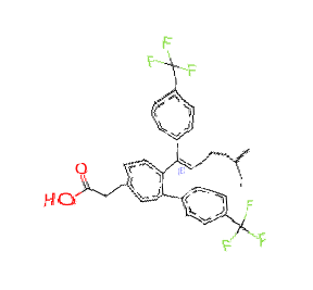 CC(C)C/C=C(\c1ccc(C(F)(F)F)cc1)c1ccc(CC(=O)O)cc1-c1ccc(C(F)(F)F)cc1